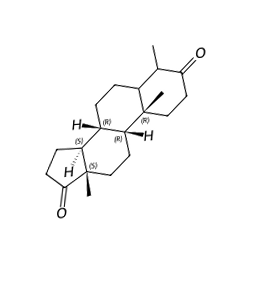 CC1C(=O)CC[C@@]2(C)C1CC[C@@H]1[C@H]2CC[C@]2(C)C(=O)CC[C@@H]12